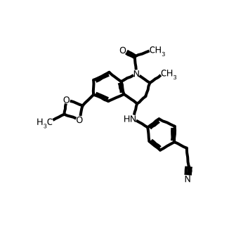 CC(=O)N1c2ccc(C3OC(C)O3)cc2C(Nc2ccc(CC#N)cc2)CC1C